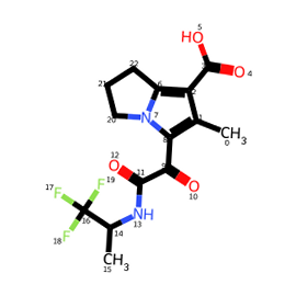 Cc1c(C(=O)O)c2n(c1C(=O)C(=O)NC(C)C(F)(F)F)CCC2